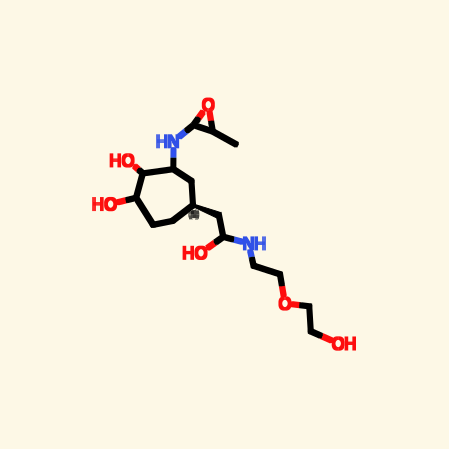 CC1OC1NC1C[C@@H](CC(O)NCCOCCO)CCC(O)C1O